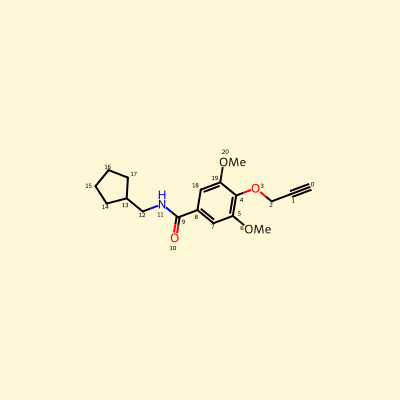 C#CCOc1c(OC)cc(C(=O)NCC2CCCC2)cc1OC